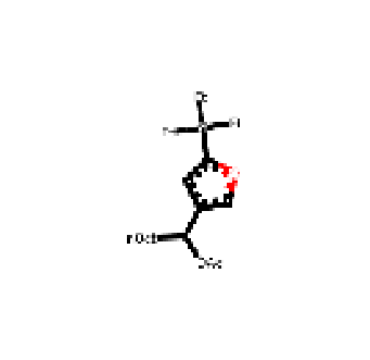 CCCCCCCCC(OC(C)=O)c1coc([Si](CC)(CC)CC)c1